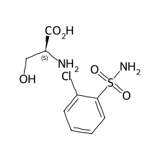 NS(=O)(=O)c1ccccc1Cl.N[C@@H](CO)C(=O)O